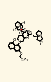 COCOc1cc(N2CCc3c(nc(OC[C@@]45CCCN4C[C@H](F)C5)nc3N3C[C@H]4CC[C@@H](C3)N4C(=O)OC(C)(C)C)C2)c2c(Cl)cccc2c1